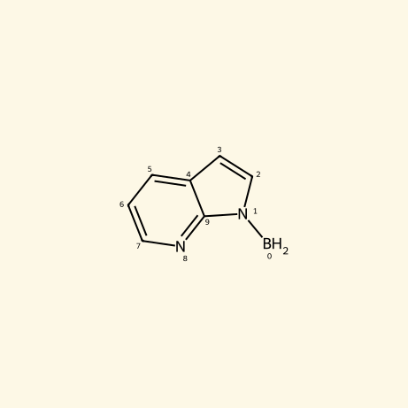 Bn1ccc2cccnc21